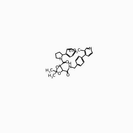 CCOC(=O)c1cnccc1-c1ccc(CNC(=O)C2OC(C)(C)O[C@H]2C(=O)N2CCCC2c2ccccc2)cc1